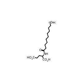 CCCCCCCCCCCCCCCCCCCC(=O)NC(CCC(=O)O)C(=O)O